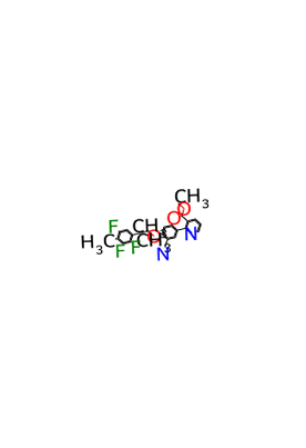 CCOC(=O)c1cccnc1-c1ccc(OCC(C)(C)c2cc(F)c(C)c(F)c2F)c(C#N)c1